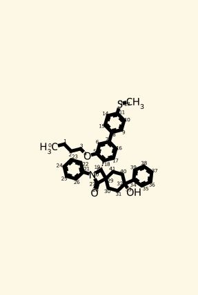 CCCCOc1cc(-c2ccc(SC)cc2)ccc1[C@H]1N(c2ccccc2)C(=O)C12CCC(O)(c1ccccc1)CC2